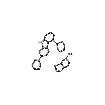 Nc1ccc2nsnc2c1.c1ccc(-c2ccc3c(c2)[nH]c2cccc(-c4ccccc4)c23)cc1